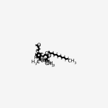 CCCCCCCCCCC1COC2(CC(C)(C)N(OC(C)c3ccc(OCC4CO4)cc3)C(CC)(CC)C2)O1